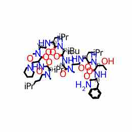 CC[C@H](C)[C@H](NC(=O)[C@H](CC(C)C)NC(=O)[C@@H](C)N(C)C(=O)C(NC(=O)[C@H](C(C)C)N(C)C(=O)CCC(C)C)C(=O)N1CCCCC1)C(=O)N[C@@H](C)C(=O)N(C)CC(=O)N[C@@H](CC(C)C)C(=O)N[C@H](C(=O)N[C@@H](Cc1ccccc1)C(N)=O)C(C)O